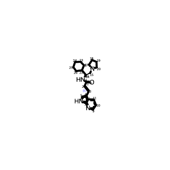 O=C(/C=C/c1c[nH]c2ncccc12)N[C@H](CN1CCCC1)C1CCCCC1